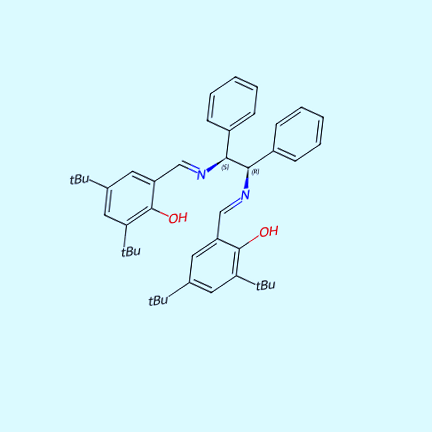 CC(C)(C)c1cc(C=N[C@H](c2ccccc2)[C@@H](N=Cc2cc(C(C)(C)C)cc(C(C)(C)C)c2O)c2ccccc2)c(O)c(C(C)(C)C)c1